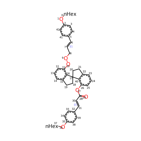 CCCCCCOc1ccc(/C=C/COOc2cccc3c2C2(CC3)CCc3cccc(OC(=O)/C=C/c4ccc(OCCCCCC)cc4)c32)cc1